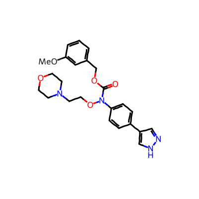 COc1cccc(COC(=O)N(OCCN2CCOCC2)c2ccc(-c3cn[nH]c3)cc2)c1